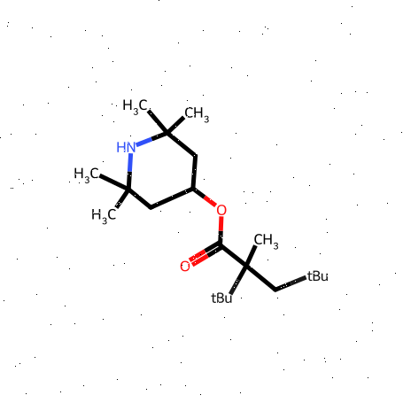 CC(C)(C)CC(C)(C(=O)OC1CC(C)(C)NC(C)(C)C1)C(C)(C)C